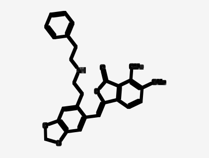 COc1ccc2c(c1OC)C(=O)OC2=Cc1cc2c(cc1CCNCCc1ccccc1)OCO2